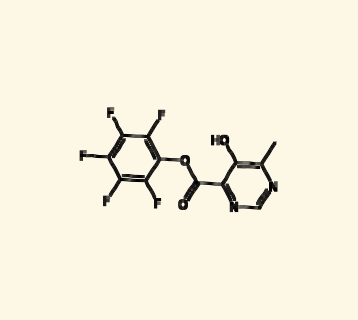 Cc1ncnc(C(=O)Oc2c(F)c(F)c(F)c(F)c2F)c1O